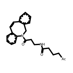 CC(=O)CCCC(=O)NCCC(=O)N1Cc2ccccc2/C=C\c2ccccc21